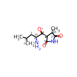 CC(C)C[C@H](N)C(=O)[C@@H]1C(=O)NC(=O)[C@H]1C